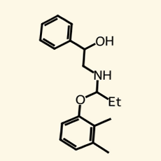 CCC(NCC(O)c1ccccc1)Oc1cccc(C)c1C